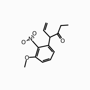 C=CC(C(=O)CC)c1cccc(OC)c1[N+](=O)[O-]